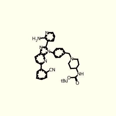 CC(C)(C)OC(=O)NC1CCN(Cc2ccc(-n3c(-c4cccnc4N)nc4ccc(-c5ccccc5C#N)nc43)cc2)CC1